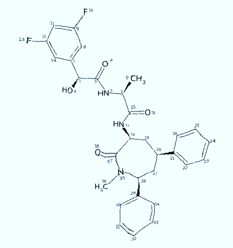 C[C@H](NC(=O)[C@@H](O)c1cc(F)cc(F)c1)C(=O)N[C@H]1C[C@@H](c2ccccc2)C[C@@H](c2ccccc2)N(C)C1=O